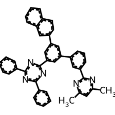 Cc1cc(C)nc(-c2cccc(-c3cc(-c4ccc5ccccc5c4)cc(-c4nc(-c5ccccc5)nc(-c5ccccc5)n4)c3)c2)n1